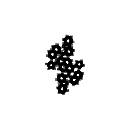 c1ccc2c(N(c3cc(C4CCCC4)c4ccc5c(N(c6cccc7ccccc67)c6cccc7c6oc6ccccc67)cc(C6CCCC6)c6ccc3c4c65)c3cccc4c3oc3ccccc34)cccc2c1